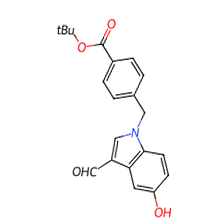 CC(C)(C)OC(=O)c1ccc(Cn2cc(C=O)c3cc(O)ccc32)cc1